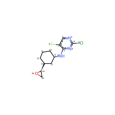 Fc1cnc(Cl)nc1NC1CCCC([C@H]2CO2)C1